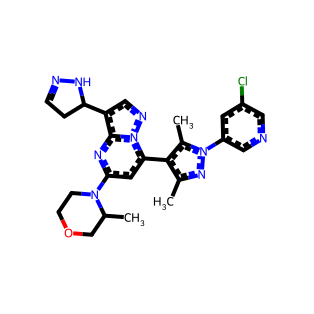 Cc1nn(-c2cncc(Cl)c2)c(C)c1-c1cc(N2CCOCC2C)nc2c(C3CC=NN3)cnn12